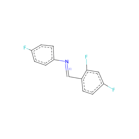 Fc1ccc(/N=C/c2ccc(F)cc2F)cc1